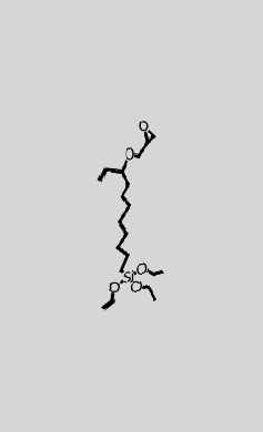 CCO[Si](CCCCCCCCC(CC)OCC1CO1)(OCC)OCC